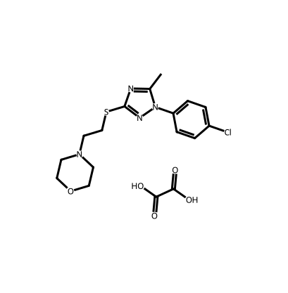 Cc1nc(SCCN2CCOCC2)nn1-c1ccc(Cl)cc1.O=C(O)C(=O)O